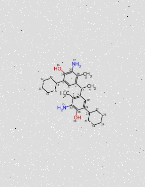 Cc1c(C(C)c2cc(C3CCCCC3)c(O)c(N)c2C)cc(C2CCCCC2)c(O)c1N